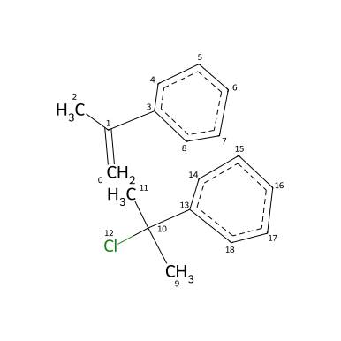 C=C(C)c1ccccc1.CC(C)(Cl)c1ccccc1